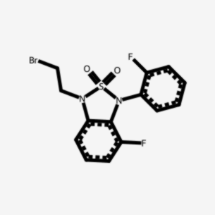 O=S1(=O)N(CCBr)c2cccc(F)c2N1c1ccccc1F